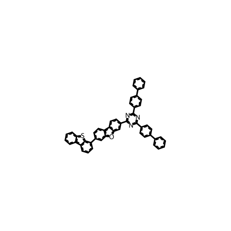 c1ccc(-c2ccc(-c3nc(-c4ccc(-c5ccccc5)cc4)nc(-c4ccc5c(c4)oc4cc(-c6cccc7c6sc6ccccc67)ccc45)n3)cc2)cc1